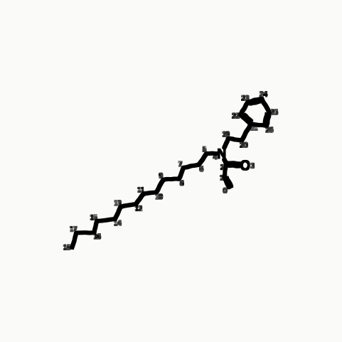 C=CC(=O)N(CCCCCCCCCCCCCC)CCc1ccccc1